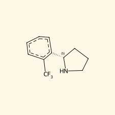 FC(F)(F)c1ccccc1[C@@H]1CCCN1